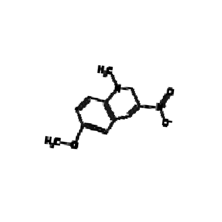 COc1ccc2c(c1)C=C([N+](=O)[O-])CN2C